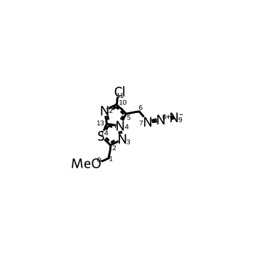 COCc1nn2c(CN=[N+]=[N-])c(Cl)nc2s1